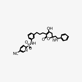 CCC[C@@]1(CCc2ccccc2)CC(O)=C(CCCc2cccc(NS(=O)(=O)c3ccc(C#N)cn3)c2)C(=O)O1